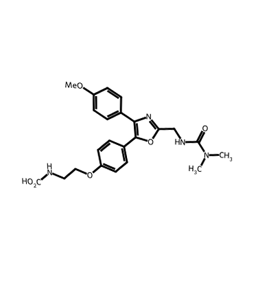 COc1ccc(-c2nc(CNC(=O)N(C)C)oc2-c2ccc(OCCNC(=O)O)cc2)cc1